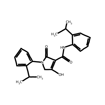 CC(C)c1ccccc1NC(=O)C1=C(O)CN(c2ccccc2C(C)C)C1=O